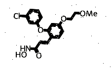 COCCOc1ccc(/C=C/C(=O)NO)c(Oc2cccc(Cl)c2)c1